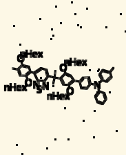 CCCCCCOc1cc(-c2ccc(C(C)(C)c3cc(OCCCCCC)c(-c4ccc(N(c5ccccc5)c5ccc(C)cc5)cc4)cc3OCCCCCC)c3nsnc23)c(OCCCCCC)cc1C